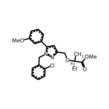 CC[C@@](C)(OCc1cc(-c2cccc(OC)c2)n(Cc2ccccc2Cl)n1)C(=O)OC